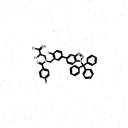 CCC(=N)C(CC)CN(Cc1cc(-c2ccc3c(c2)nnn3C(c2ccccc2)(c2ccccc2)c2ccccc2)ccc1F)C(=O)c1ccc(F)cc1